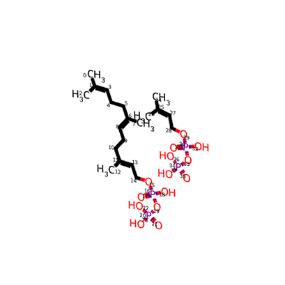 CC(C)=CCCC(C)=CCCC(C)=CCOP(=O)(O)OP(=O)(O)O.CC(C)=CCOP(=O)(O)OP(=O)(O)O